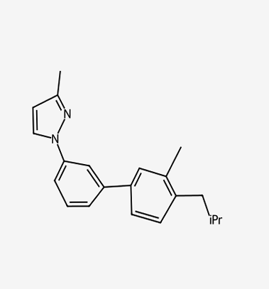 Cc1ccn(-c2cccc(-c3ccc(CC(C)C)c(C)c3)c2)n1